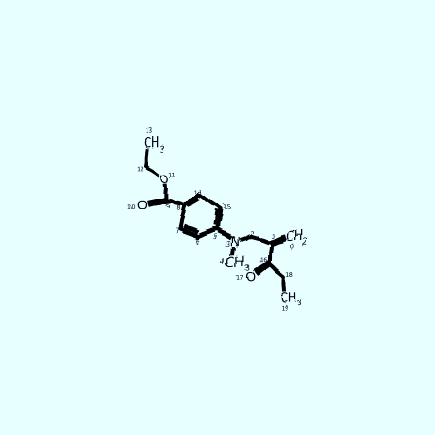 C=C(CN(C)c1ccc(C(=O)OCC)cc1)C(=O)CC